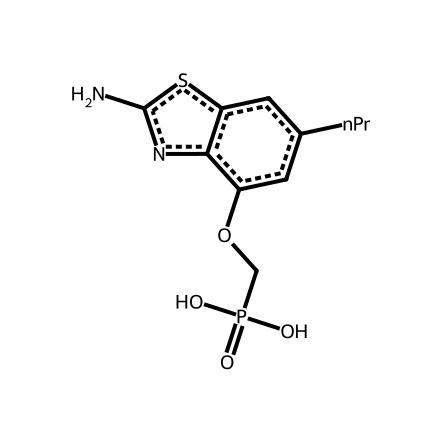 CCCc1cc(OCP(=O)(O)O)c2nc(N)sc2c1